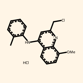 COc1cccc2c(Nc3ccccc3C)cc(CCl)nc12.Cl